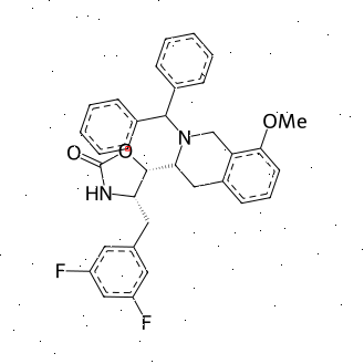 COc1cccc2c1CN(C(c1ccccc1)c1ccccc1)C([C@H]1OC(=O)N[C@H]1Cc1cc(F)cc(F)c1)C2